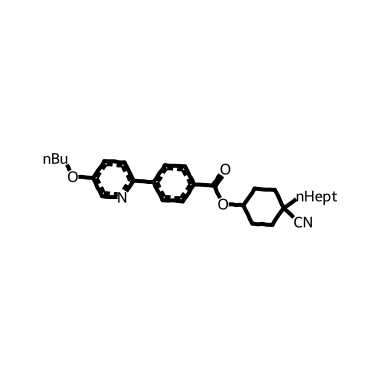 CCCCCCCC1(C#N)CCC(OC(=O)c2ccc(-c3ccc(OCCCC)cn3)cc2)CC1